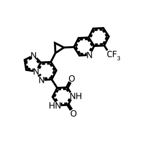 O=c1[nH]cc(-c2cc(C3CC3c3cnc4c(C(F)(F)F)cccc4c3)c3nccn3n2)c(=O)[nH]1